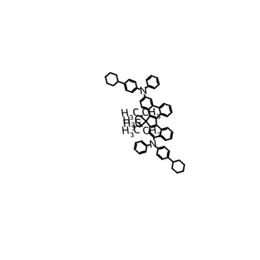 CC(C)(C)C1(C(C)(C)C)c2cc(N(c3ccccc3)c3ccc(C4CCCCC4)cc3)c3ccccc3c2-c2c1c1ccc(N(c3ccccc3)c3ccc(C4CCCCC4)cc3)cc1c1ccccc21